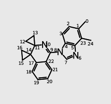 Cc1ccc2c(ncn2C2=NC3(CC3)C3(CC3)c3ccccc32)c1C